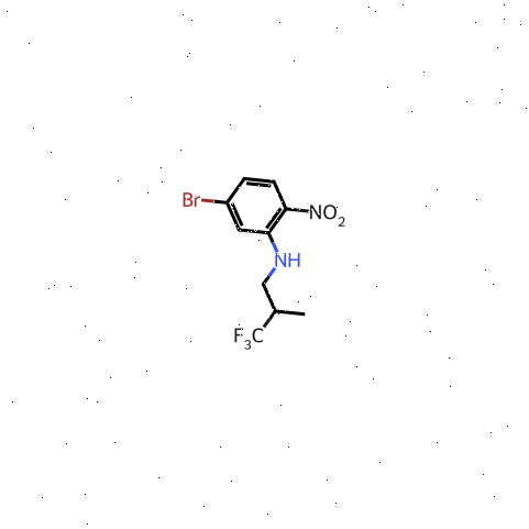 CC(CNc1cc(Br)ccc1[N+](=O)[O-])C(F)(F)F